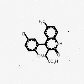 COc1ccc(Cl)cc1-c1c(CC(=O)O)c(=O)[nH]c2ccc(C(F)(F)F)cc12